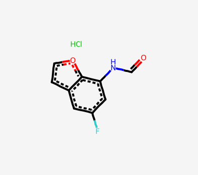 Cl.O=CNc1cc(F)cc2ccoc12